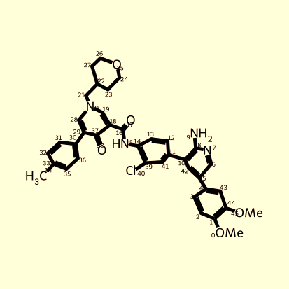 COc1ccc(-c2cnc(N)c(-c3ccc(NC(=O)c4cn(CC5CCOCC5)cc(-c5ccc(C)cc5)c4=O)c(Cl)c3)c2)cc1OC